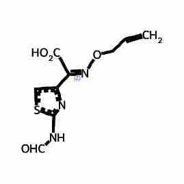 C=CCO/N=C(\C(=O)O)c1csc(NC=O)n1